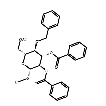 CCS[C@@H]1O[C@H](COC(C)=O)[C@@H](OCc2ccccc2)[C@H](OC(=O)c2ccccc2)[C@H]1OC(=O)c1ccccc1